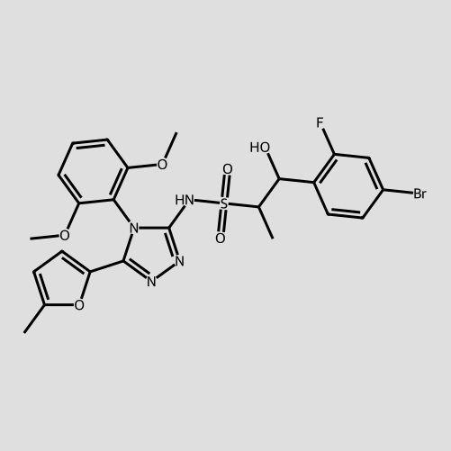 COc1cccc(OC)c1-n1c(NS(=O)(=O)C(C)C(O)c2ccc(Br)cc2F)nnc1-c1ccc(C)o1